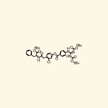 CC(C)(C)OC(=O)/N=C(/NC(=O)OC(C)(C)C)Nc1ccc(C(=O)Oc2ccc(CC(=O)N[C@@H](Cc3ccccc3)C(=O)OC(C)(C)C)c(Cl)c2)cc1